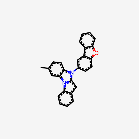 Cc1ccc2c(c1)n1c3ccccc3cc1n2-c1ccc2oc3ccccc3c2c1